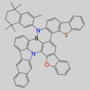 Cc1cc2c(cc1N1B3c4c(cc5c(oc6ccccc65)c4-n4c5cc6ccccc6cc5c5cccc3c54)-c3c1ccc1c3sc3ccccc31)C(C)(C)CCC2(C)C